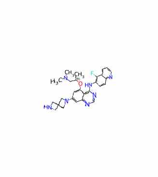 C[C@H](CN(C)C)Oc1cc(N2CC3(CNC3)C2)cc2ncnc(Nc3ccc4ncccc4c3F)c12